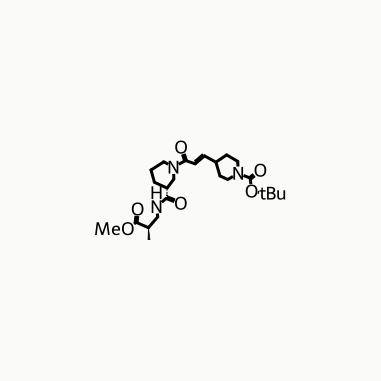 COC(=O)[C@H](C)CNC(=O)[C@@H]1CCCN(C(=O)/C=C/C2CCN(C(=O)OC(C)(C)C)CC2)C1